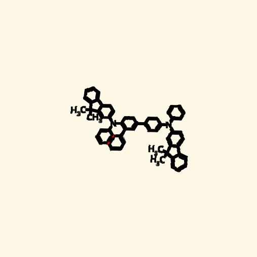 CC1(C)c2ccccc2-c2ccc(N(c3ccccc3)c3ccc(-c4ccc(N(c5ccccc5)c5ccc6c(c5)C(C)(C)c5ccccc5-6)c(-c5ccccc5)c4)cc3)cc21